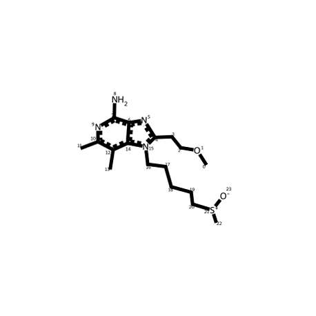 COCCc1nc2c(N)nc(C)c(C)c2n1CCCCC[S+](C)[O-]